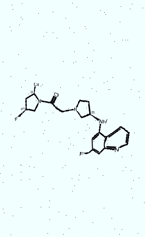 N#C[C@@H]1C[C@H](F)CN1C(=O)CN1CC[C@@H](Nc2cc(F)cc3ncccc23)C1